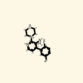 Nc1c(-c2cc(F)ccc2F)ccnc1N1CCOCC1